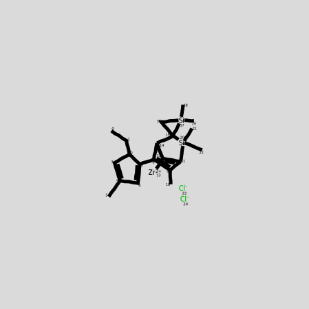 CCC1C=C(C)C=C1C1=C(C)C2=[C]([Zr+2])C1C1(C[Si]1(C)C)[Si]2(C)C.[Cl-].[Cl-]